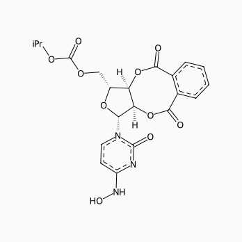 CC(C)OC(=O)OC[C@H]1O[C@@H](n2ccc(NO)nc2=O)[C@@H]2OC(=O)c3ccccc3C(=O)O[C@@H]21